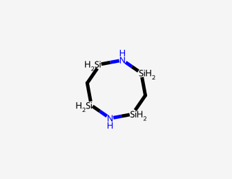 C1[SiH2]N[SiH2]C[SiH2]N[SiH2]1